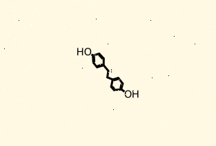 Oc1ccc([C]Cc2ccc(O)cc2)cc1